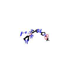 CC(C)(C)OC(=O)N1CCC(n2cc(-c3cnc(N)c(-c4nnc(-c5cccnc5)o4)c3)cn2)CC1